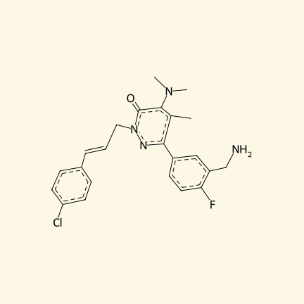 Cc1c(-c2ccc(F)c(CN)c2)nn(CC=Cc2ccc(Cl)cc2)c(=O)c1N(C)C